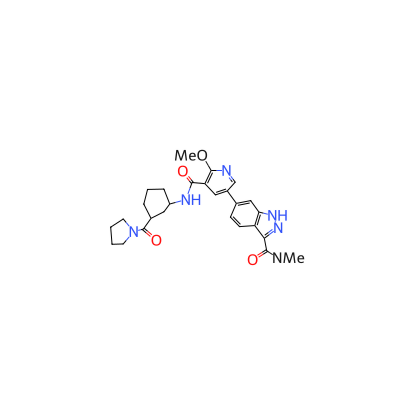 CNC(=O)c1n[nH]c2cc(-c3cnc(OC)c(C(=O)NC4CCCC(C(=O)N5CCCC5)C4)c3)ccc12